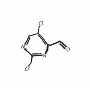 O=Cc1nc(Cl)ncc1Cl